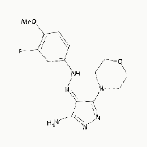 COc1ccc(N/N=C2/C(N)=NN=C2N2CCOCC2)cc1F